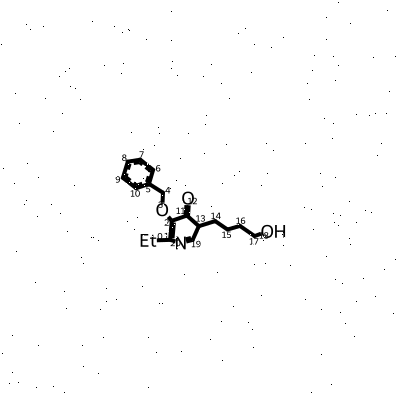 CCC1=C(OCc2ccccc2)C(=O)C(CCCCO)C=N1